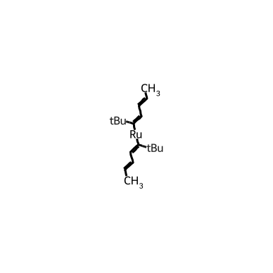 C/C=C/C=[C](/[Ru]/[C](=C/C=C/C)C(C)(C)C)C(C)(C)C